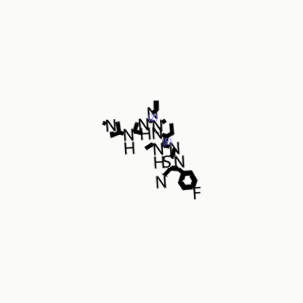 C=C/N=C(/N1CC(NC2CN(C)C2)C1)N(C)N/C(CC)=C(\NCC)N(C)c1nc(-c2ccc(F)cc2)c(C#N)s1